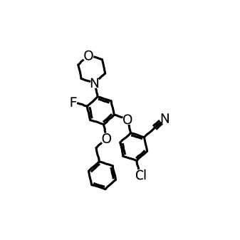 N#Cc1cc(Cl)ccc1Oc1cc(N2CCOCC2)c(F)cc1OCc1ccccc1